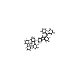 c1ccc(C2(c3ccccc3)c3ccccc3-c3c(-c4ccc5c(c4)sc4c(-n6c7ccccc7c7ccccc76)cccc45)cccc32)cc1